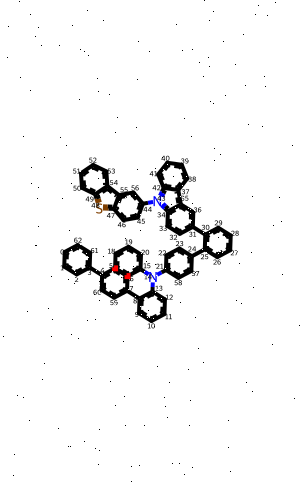 c1ccc(-c2ccc(-c3ccccc3N(c3ccccc3)c3ccc(-c4ccccc4-c4ccc5c(c4)c4ccccc4n5-c4ccc5sc6ccccc6c5c4)cc3)cc2)cc1